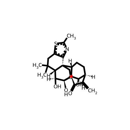 C=C1C(=O)[C@]23[C@H](O)[C@H]1CC[C@H]2[C@@]12CO[C@]3(O)[C@@H](O)[C@@H]1C(C)(C)Cc1sc(C)nc12